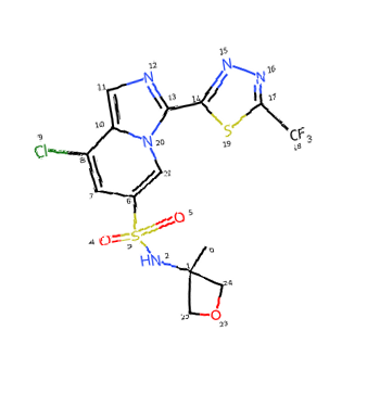 CC1(NS(=O)(=O)c2cc(Cl)c3cnc(-c4nnc(C(F)(F)F)s4)n3c2)COC1